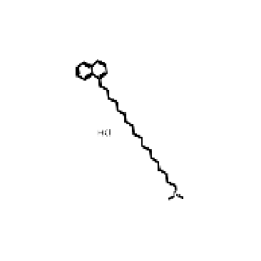 CN(C)CCCCCCCCCCCCCCCCCCc1cccc2ccccc12.Cl